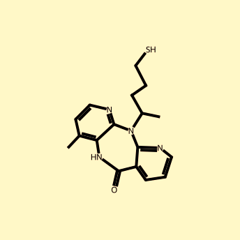 Cc1ccnc2c1NC(=O)c1cccnc1N2C(C)CCCS